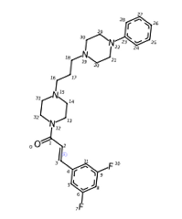 O=C(/C=C/c1cc(F)cc(F)c1)N1CCN(CCCN2CCN(c3ccccc3)CC2)CC1